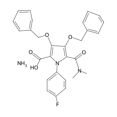 CN(C)C(=O)c1c(OCc2ccccc2)c(OCc2ccccc2)c(C(=O)O)n1-c1ccc(F)cc1.N